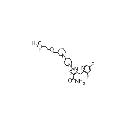 CC(F)CCOCC1CCCN(C2CCN(c3nc(Cc4ncc(F)cc4F)c(C(N)=O)s3)CC2)C1